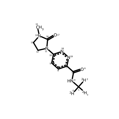 [2H]C([2H])([2H])NC(=O)c1ccc(N2CCN(C)C2=O)nn1